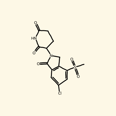 CS(=O)(=O)c1cc(Cl)cc2c1CN(C1CCC(=O)NC1=O)C2=O